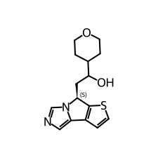 OC(C[C@H]1c2sccc2-c2cncn21)C1CCOCC1